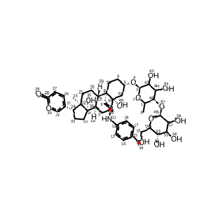 CC1O[C@@H](O[C@H]2CC[C@]3(/C=N/Nc4ccc(F)cc4)[C@H]4CC[C@]5(C)[C@@H](c6ccc(=O)oc6)CC[C@]5(O)[C@@H]4CC[C@]3(O)C2)C(O)C(O)[C@H]1O[C@@H]1OC(CO)[C@@H](O)C(O)C1O